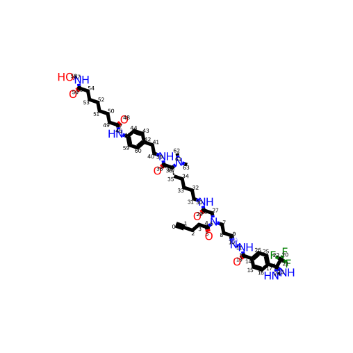 C#CCCC(=O)N(CC/C=N/NC(=O)c1ccc(C2(C(F)(F)F)NN2)cc1)CC(=O)NCCCCC[C@H](C(=O)NCCc1ccc(NC(=O)CCCCCCC(=O)NO)cc1)N(C)C